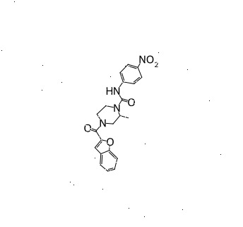 CC1CN(C(=O)c2cc3ccccc3o2)CCN1C(=O)Nc1ccc([N+](=O)[O-])cc1